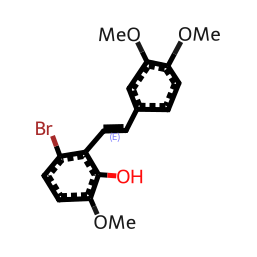 COc1ccc(/C=C/c2c(Br)ccc(OC)c2O)cc1OC